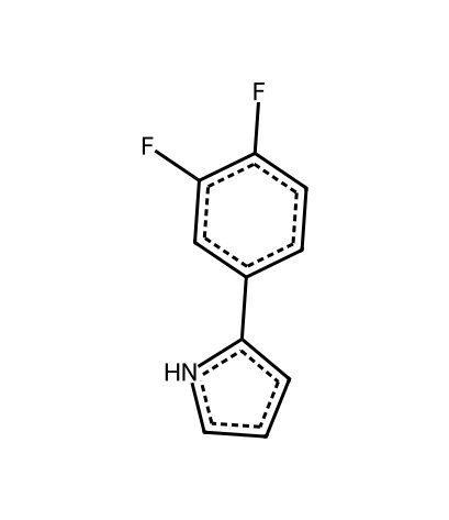 Fc1ccc(-c2ccc[nH]2)cc1F